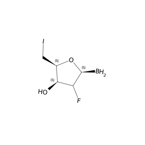 B[C@@H]1O[C@H](CI)[C@H](O)C1F